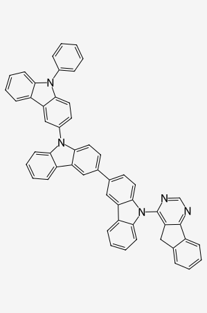 c1ccc(-n2c3ccccc3c3cc(-n4c5ccccc5c5cc(-c6ccc7c(c6)c6ccccc6n7-c6ncnc7c6Cc6ccccc6-7)ccc54)ccc32)cc1